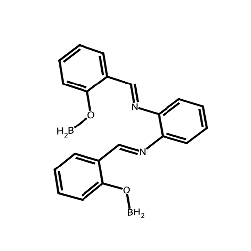 BOc1ccccc1/C=N/c1ccccc1/N=C/c1ccccc1OB